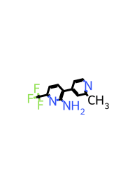 Cc1cc(-c2ccc(C(F)(F)F)nc2N)ccn1